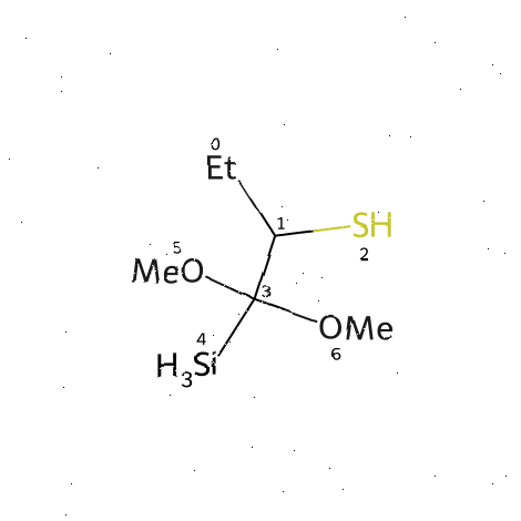 CCC(S)C([SiH3])(OC)OC